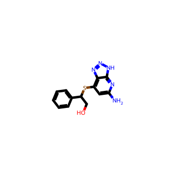 Nc1cc(SC(CO)c2ccccc2)c2nn[nH]c2n1